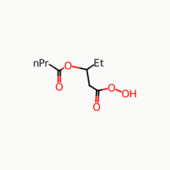 CCCC(=O)OC(CC)CC(=O)OO